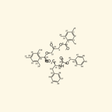 Cc1cc(C)c(C(=O)OCC(=O)COC(=O)c2c(C)cc(C)cc2C)c(C)c1.O=C(N[C@@H](Cc1ccccc1)C(=O)O)OCc1ccccc1